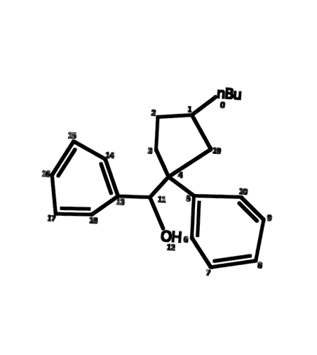 CCCCC1CCC(c2ccccc2)(C(O)c2ccccc2)C1